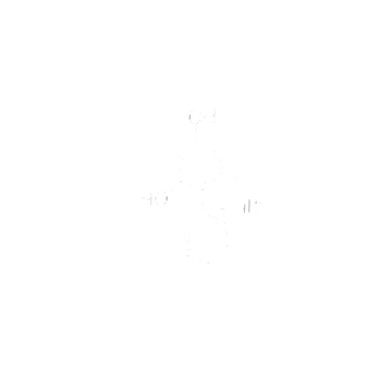 CC1=CC(c2c(C)cc(O)cc2O)[C@H](C(C)C)CC1